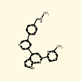 CNCc1ccc(-c2cncc(-c3cc(-c4cccc(C)n4)nc4[nH]ccc34)c2)cc1